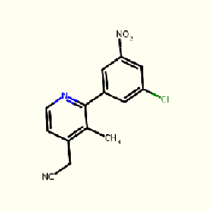 Cc1c(CC#N)ccnc1-c1cc(Cl)cc([N+](=O)[O-])c1